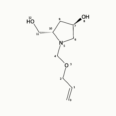 C=CCOCN1C[C@H](O)C[C@H]1CO